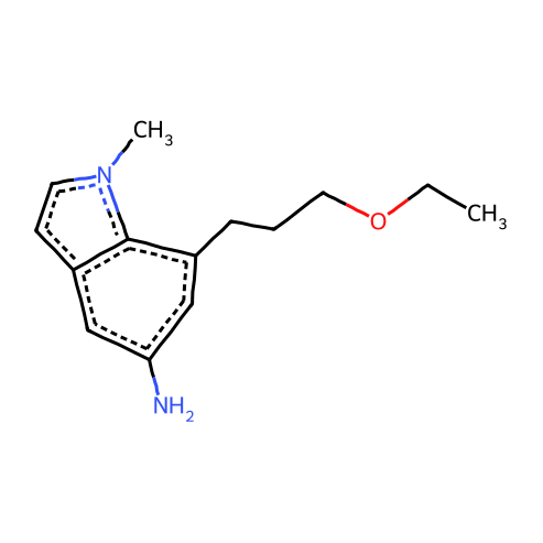 CCOCCCc1cc(N)cc2ccn(C)c12